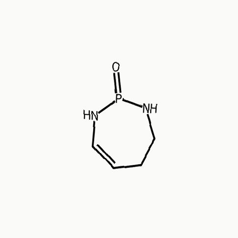 O=[P]1NC=CCCN1